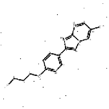 FCCCOc1ccc(-c2cn3cc(I)cnc3n2)cc1